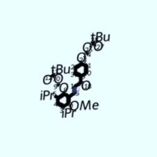 COc1c(C(C)C)cc(C(C)C)c(OCOC(=O)C(C)(C)C)c1/C=C/C(=O)c1ccc(OCOC(=O)C(C)(C)C)cc1